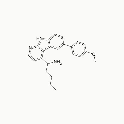 CCCCC(N)c1ccnc2[nH]c3ccc(-c4ccc(OC)cc4)cc3c12